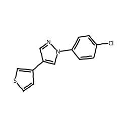 Clc1ccc(-n2cc(-c3ccsc3)cn2)cc1